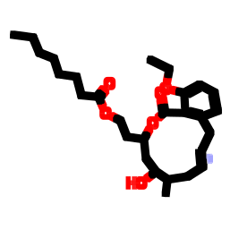 CCCCCCCC(=O)OCCC1CC(O)C(C)C/C=C/Cc2cccc(OCC)c2C(=O)O1